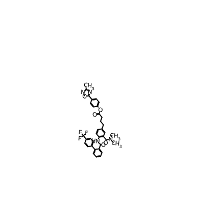 Cc1noc(-c2ccc(OC(=O)CCCc3ccc(NC(=O)c4ccccc4-c4ccc(C(F)(F)F)cc4)c(C(=O)N(C)C)c3)cc2)n1